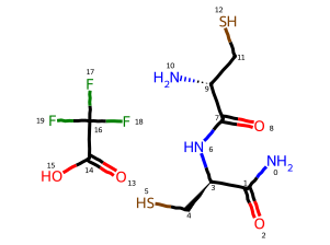 NC(=O)[C@@H](CS)NC(=O)[C@H](N)CS.O=C(O)C(F)(F)F